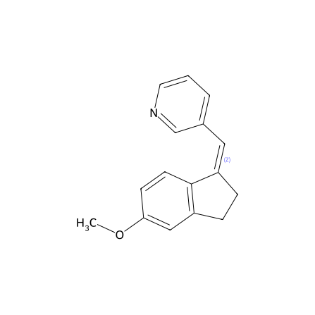 COc1ccc2c(c1)CC/C2=C/c1cccnc1